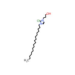 CCCCCCCCCCCCCCCCCCCN1C=CN(CCCO)C1Cl